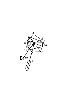 C#C[C]12[CH]3[CH]4[CH]5[CH]1[Fe]45321678[CH]2[CH]1[CH]6[C]7(Br)[CH]28